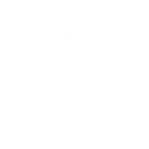 COc1ccc(C(F)F)cc1C(C)(C)C